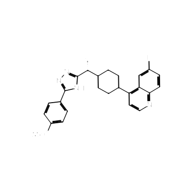 COc1ccc(-c2nnc([C@H](C)C3CCC(c4ccnc5ccc(F)cc45)CC3)[nH]2)cc1